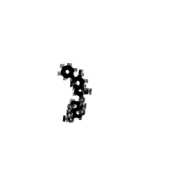 OC1CO[C@@H]2C(Oc3cc4nc(-c5ccccc5)c(F)cc4[nH]3)CO[C@H]12